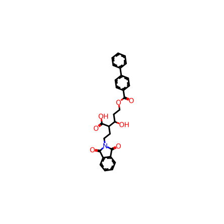 O=C(OCCC(O)C(CCN1C(=O)c2ccccc2C1=O)C(=O)O)c1ccc(-c2ccccc2)cc1